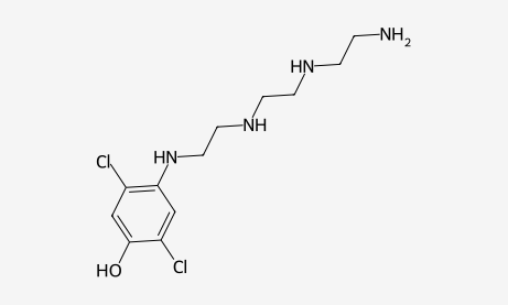 NCCNCCNCCNc1cc(Cl)c(O)cc1Cl